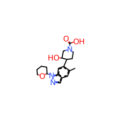 Cc1cc2cnn(C3CCCCO3)c2cc1C1CCN(C(=O)O)CC1O